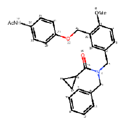 COc1ccc(CN(Cc2ccccc2)C(=O)C2CC2)cc1COc1ccc(NC(C)=O)cc1